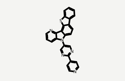 c1ccc2c(c1)sc1c2ccc2c1c1ncccc1n2-c1cnc(-c2ccncc2)nc1